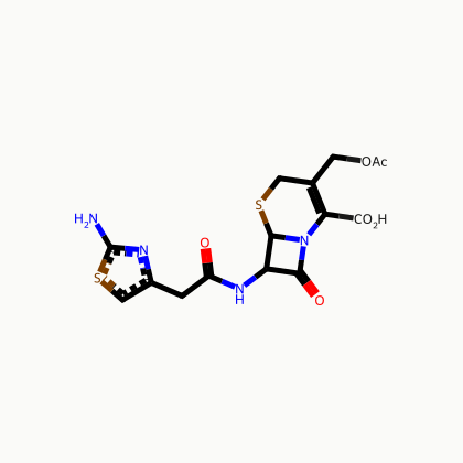 CC(=O)OCC1=C(C(=O)O)N2C(=O)C(NC(=O)Cc3csc(N)n3)C2SC1